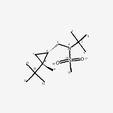 CC(C)(C)N(C[C@H]1C[C@@]1(C)C(C)(C)C)S(C)(=O)=O